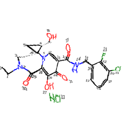 CCN1C[C@@]2(C[C@@H]2CO)n2cc(C(=O)NCc3cccc(Cl)c3F)c(=O)c(O)c2C1=O.Cl